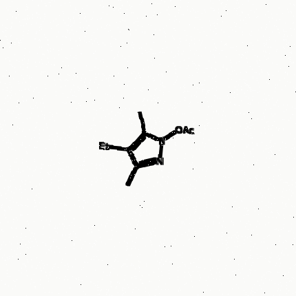 CCc1c(C)nn(OC(C)=O)c1C